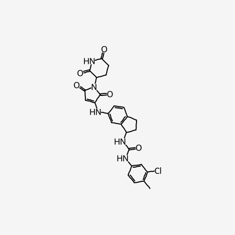 Cc1ccc(NC(=O)NC2CCc3ccc(NC4=CC(=O)N(C5CCC(=O)NC5=O)C4=O)cc32)cc1Cl